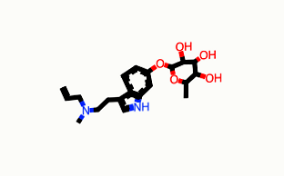 C=CCN(C)CCc1c[nH]c2cc(OC3OC(C)C(O)C(O)C3O)ccc12